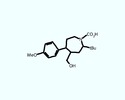 COc1ccc(C2CCN(C(=O)O)C(C(C)(C)C)CC2CO)cc1